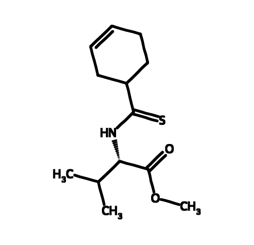 COC(=O)[C@@H](NC(=S)C1CC=CCC1)C(C)C